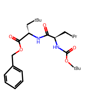 CC(C)C[C@@H](NC(=O)OC(C)(C)C)C(=O)N[C@@H](CC(C)(C)C)C(=O)OCc1ccccc1